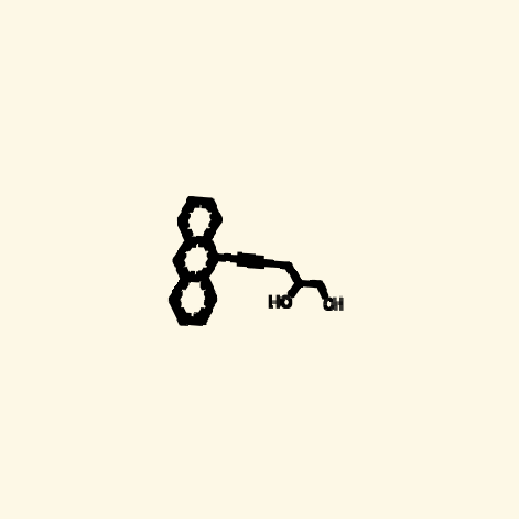 OCC(O)CC#Cc1c2ccccc2cc2ccccc12